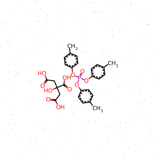 Cc1ccc(OP(=O)(Oc2ccc(C)cc2)Oc2ccc(C)cc2)cc1.O=C(O)CC(O)(CC(=O)O)C(=O)O